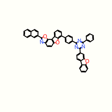 c1ccc(-c2nc(-c3ccc(-c4cccc5c4oc4ccc6nc(-c7ccc8ccccc8c7)oc6c45)cc3)nc(-c3ccc4c(c3)oc3ccccc34)n2)cc1